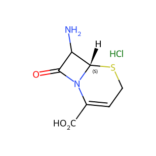 Cl.NC1C(=O)N2C(C(=O)O)=CCS[C@@H]12